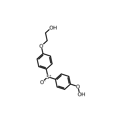 [O-][S+](c1ccc(OO)cc1)c1ccc(OCCO)cc1